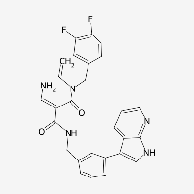 C=CN(Cc1ccc(F)c(F)c1)C(=O)/C(=C\N)C(=O)NCc1cccc(-c2c[nH]c3ncccc23)c1